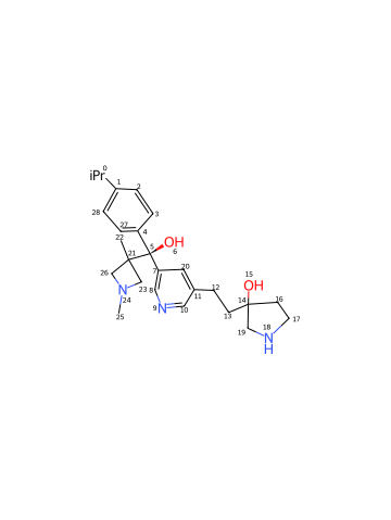 CC(C)c1ccc([C@](O)(c2cncc(CCC3(O)CCNC3)c2)C2(C)CN(C)C2)cc1